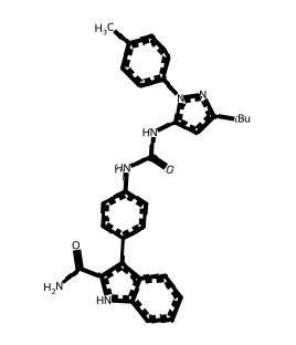 Cc1ccc(-n2nc(C(C)(C)C)cc2NC(=O)Nc2ccc(-c3c(C(N)=O)[nH]c4ccccc34)cc2)cc1